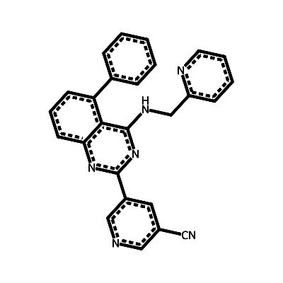 N#Cc1cncc(-c2nc(NCc3ccccn3)c3c(-c4ccccc4)cccc3n2)c1